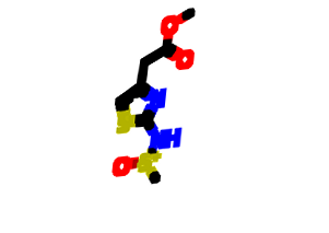 COC(=O)Cc1csc(N[S+](C)[O-])n1